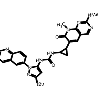 CNc1ncc2cc(C3CC3NC(=O)Nc3cc(C(C)(C)C)nn3-c3ccc4ncccc4c3)c(=O)n(C)c2n1